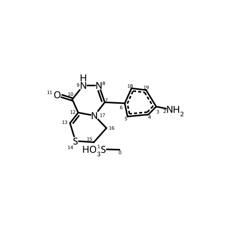 CS(=O)(=O)O.Nc1ccc(C2=NNC(=O)C3=CSCCN32)cc1